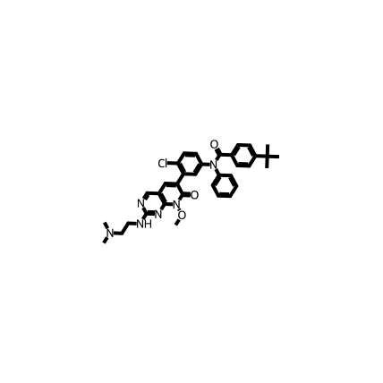 COn1c(=O)c(-c2cc(N(C(=O)c3ccc(C(C)(C)C)cc3)c3ccccc3)ccc2Cl)cc2cnc(NCCN(C)C)nc21